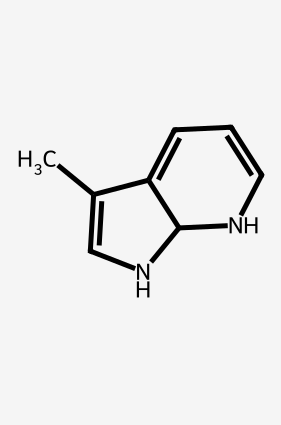 CC1=CNC2NC=CC=C12